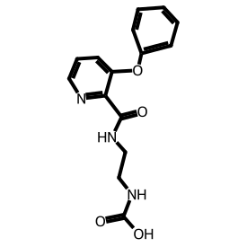 O=C(O)NCCNC(=O)c1ncccc1Oc1ccccc1